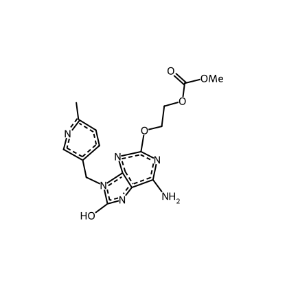 COC(=O)OCCOc1nc(N)c2nc(O)n(Cc3ccc(C)nc3)c2n1